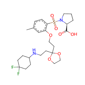 Cc1ccc(S(=O)(=O)N2CCC[C@H]2C(=O)O)c(OCCC2(CCNC3CCC(F)(F)CC3)OCCO2)c1